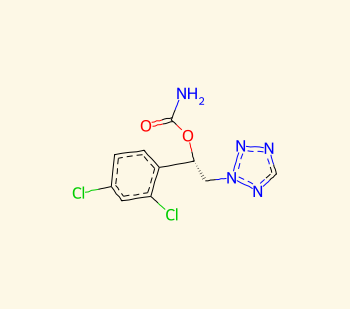 NC(=O)O[C@H](Cn1ncnn1)c1ccc(Cl)cc1Cl